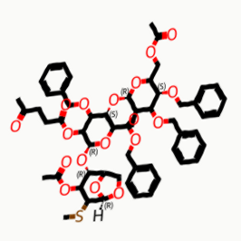 CSC1C(OC(C)=O)[C@H](O[C@@H]2OC(C(=O)OCc3ccccc3)[C@@H](O[C@H]3OC(COC(C)=O)[C@@H](OCc4ccccc4)C(OCc4ccccc4)C3C)C(OCc3ccccc3)C2OC(=O)CCC(C)=O)C2CO[C@@H]1O2